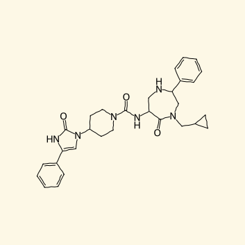 O=C(NC1CNC(c2ccccc2)CN(CC2CC2)C1=O)N1CCC(n2cc(-c3ccccc3)[nH]c2=O)CC1